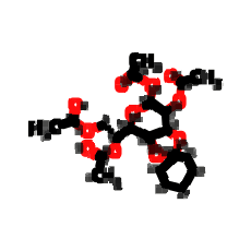 CC(=O)OC[C@@H](OC(C)=O)[C@@H]1O[C@@H](OC(C)=O)C(OC(C)=O)C2OC3(CCCCC3)OC21